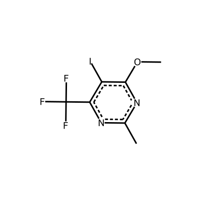 COc1nc(C)nc(C(F)(F)F)c1I